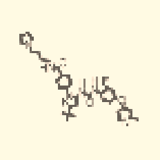 Cc1cc(Oc2ccc(NC(=O)Nc3cc(C(C)(C)C)nn3-c3ccc(C(=O)NCCCCN4CCCC4)cc3)c(F)c2)ccn1